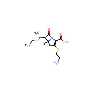 CCS[C@H](C)[C@H]1C(=O)N2C(C(=O)O)=C(SCCN)C[C@H]12